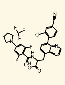 N#Cc1ccc(-c2ccc(CC(NC(=O)c3c(F)cc(N4CCC[C@@H]4C(F)(F)F)cc3F)C(=O)O)c3cccnc23)c(Cl)c1